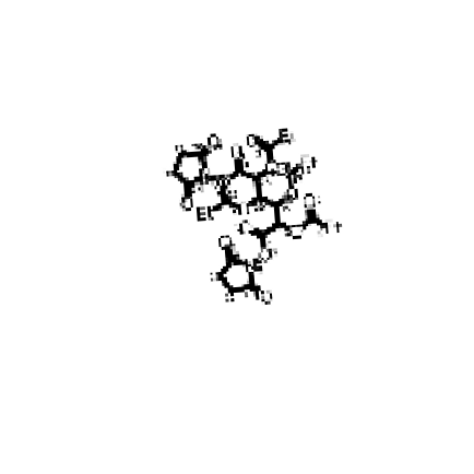 CCC(=O)OC(C(=O)ON1C(=O)CCC1=O)C(OC(=O)CC)C(OC(=O)CC)C(OC(=O)CC)C(=O)ON1C(=O)CCC1=O